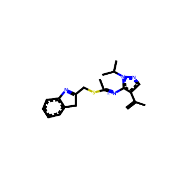 C=C(C)c1cnn(C(C)C)c1/N=C(\C)SCC1=Nc2ccccc2C1